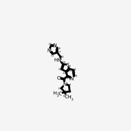 CC1(C)CCN(C(=O)c2nccc3sc(NCc4cncnc4)cc23)C1